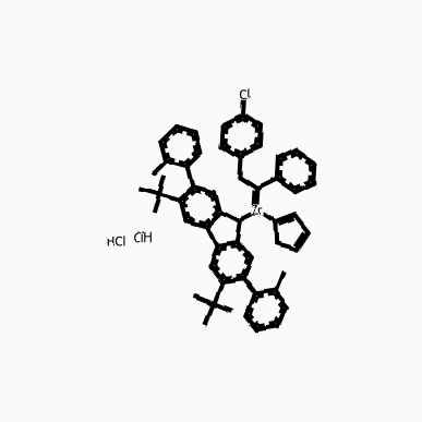 Cc1ccccc1-c1cc2c(cc1C(C)(C)C)-c1cc(C(C)(C)C)c(-c3ccccc3C)cc1[CH]2/[Zr]([C]1=CC=CC1)=[C](\Cc1ccc(Cl)cc1)c1ccccc1.Cl.Cl